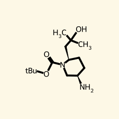 CC(C)(O)C[C@H]1CC[C@@H](N)CN1C(=O)OC(C)(C)C